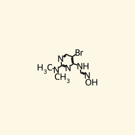 CN(C)c1ncc(Br)c(N/C=N/O)n1